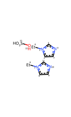 CCn1ccnc1.CCn1ccnc1.O=S(=O)(O)O